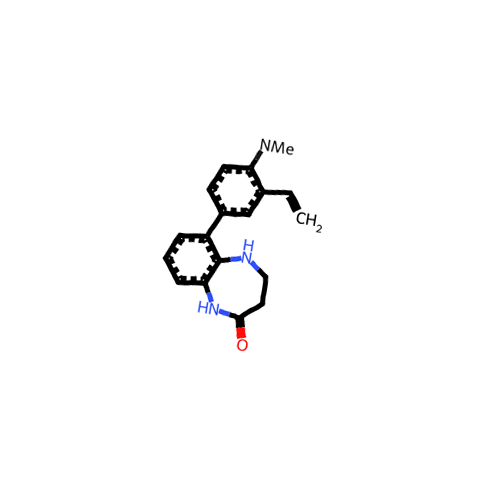 C=Cc1cc(-c2cccc3c2NCCC(=O)N3)ccc1NC